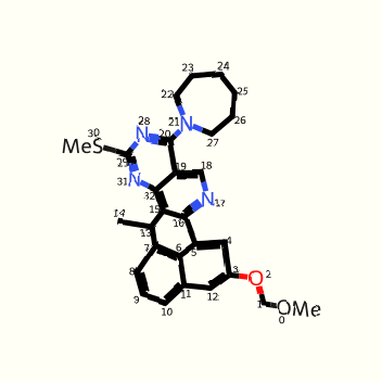 COCOc1cc2c3c(cccc3c1)C(C)c1c-2ncc2c(N3CCCCCC3)nc(SC)nc12